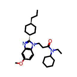 CCC[C@H]1CC[C@H](c2nc3cc(OC)ccc3n2CCC(=O)N(CC)C2CCCCC2)CC1